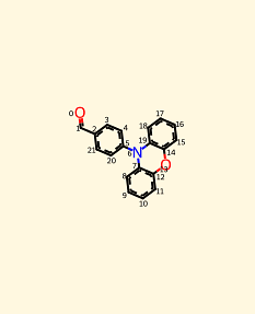 O=Cc1ccc(N2c3ccccc3Oc3ccccc32)cc1